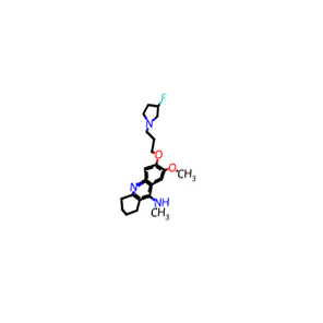 CNc1c2c(nc3cc(OCCCN4CCC(F)C4)c(OC)cc13)CCCC2